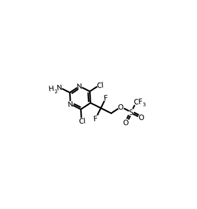 Nc1nc(Cl)c(C(F)(F)COS(=O)(=O)C(F)(F)F)c(Cl)n1